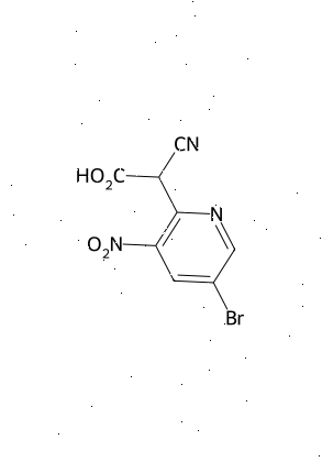 N#CC(C(=O)O)c1ncc(Br)cc1[N+](=O)[O-]